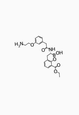 CCOC(=O)c1cccc2c1OB(O)[C@@H](NC(=O)Cc1cccc(OCCN)c1)C2